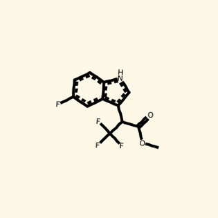 COC(=O)C(c1c[nH]c2ccc(F)cc12)C(F)(F)F